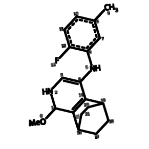 COC1NC=C(Nc2cc(C)ccc2F)C2=C1C1CCC2CC1